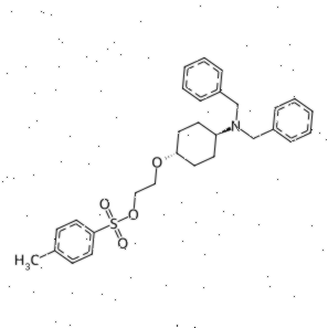 Cc1ccc(S(=O)(=O)OCCO[C@H]2CC[C@H](N(Cc3ccccc3)Cc3ccccc3)CC2)cc1